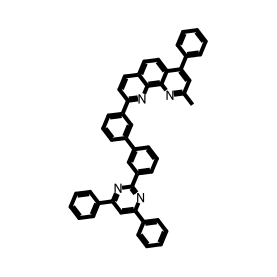 Cc1cc(-c2ccccc2)c2ccc3ccc(-c4cccc(-c5cccc(-c6nc(-c7ccccc7)cc(-c7ccccc7)n6)c5)c4)nc3c2n1